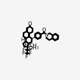 C[C@]12C[C@H](c3ccc(C(=O)N4CCc5ccccc5C4)cc3)C3=C4CCC(=O)C=C4CC[C@H]3[C@@H]1CC[C@@]2(O)C(F)(F)C(F)(F)F